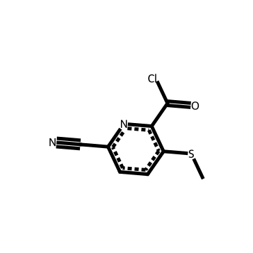 CSc1ccc(C#N)nc1C(=O)Cl